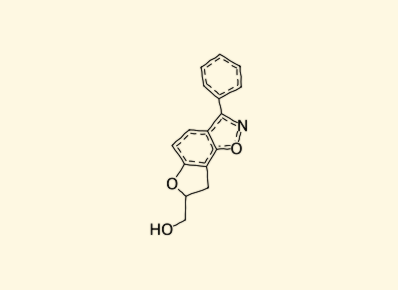 OCC1Cc2c(ccc3c(-c4ccccc4)noc23)O1